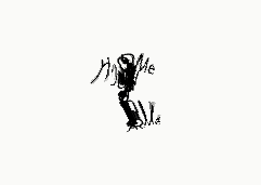 C=C(OC)c1ccc2nc(CN3CCC(c4cccc(OCc5ccc(C(C)=O)c(OC)c5)n4)CC3)n(CC3CCO3)c2c1